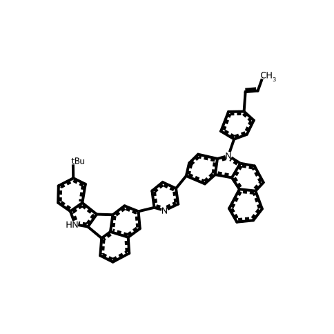 C/C=C/c1ccc(-n2c3ccc(-c4ccc(-c5cc6c7c(cccc7c5)-c5[nH]c7ccc(C(C)(C)C)cc7c5-6)nc4)cc3c3c4ccccc4ccc32)cc1